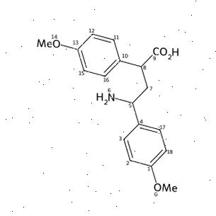 COc1ccc(C(N)CC(C(=O)O)c2ccc(OC)cc2)cc1